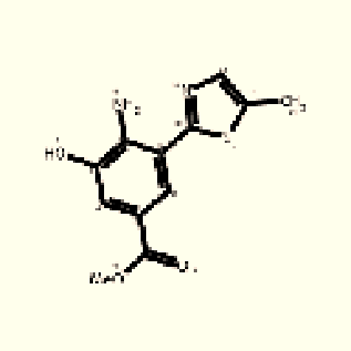 COC(=O)c1cc(O)c(N)c(-c2ncc(C)s2)c1